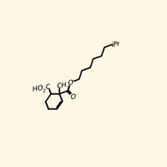 CC(C)CCCCCCOC(=O)C1(C)C=CCCC1C(=O)O